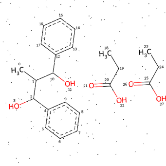 CC(C(O)c1ccccc1)C(O)c1ccccc1.CCC(=O)O.CCC(=O)O